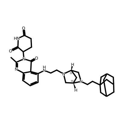 Cc1nc2cccc(NCCN3C[C@@H]4C[C@H]3CN4CCC34CC5CC(CC(C5)C3)C4)c2c(=O)n1C1CCC(=O)NC1=O